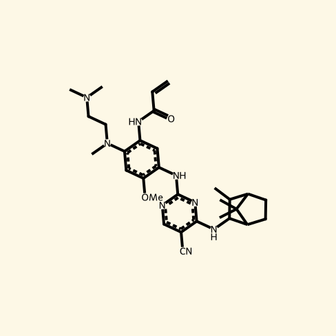 C=CC(=O)Nc1cc(Nc2ncc(C#N)c(NC3C(C)C4CCC3C4(C)C)n2)c(OC)cc1N(C)CCN(C)C